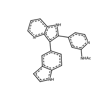 CC(=O)Nc1cc(-c2[nH]c3cccnc3c2-c2ccc3[nH]ccc3c2)ccn1